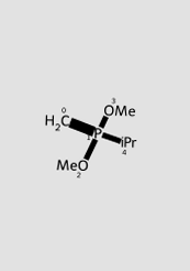 C=P(OC)(OC)C(C)C